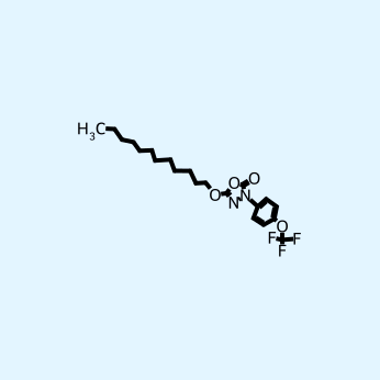 CCCCCCCCCCCCOc1nn(-c2ccc(OC(F)(F)F)cc2)c(=O)o1